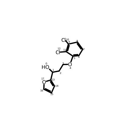 OC(CCOc1cccc(Cl)c1Cl)c1ccco1